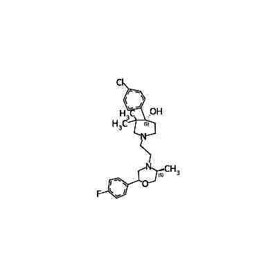 C[C@H]1COC(c2ccc(F)cc2)CN1CCN1CC[C@](O)(c2ccc(Cl)cc2)C(C)(C)C1